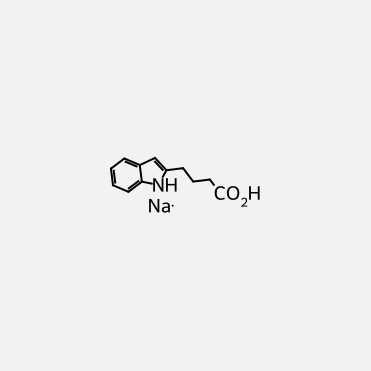 O=C(O)CCCc1cc2ccccc2[nH]1.[Na]